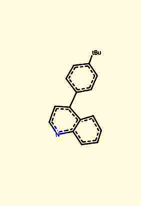 CC(C)(C)c1ccc(-c2ccnc3ccccc23)cc1